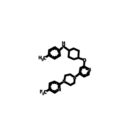 Cc1ccc(NC2CCC(Oc3cc(N4CCN(c5ccc(C(F)(F)F)cn5)CC4)ccn3)CC2)cc1